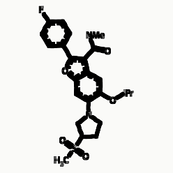 CNC(=O)c1c(-c2ccc(F)cc2)oc2cc(N3CCC(S(C)(=O)=O)C3)c(OC(C)C)cc12